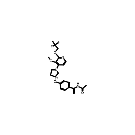 C=C(NC(C)=O)c1ccc(O[C@@H]2CCN(c3ccnc(OCC(C)(F)F)c3OC)C2)cc1